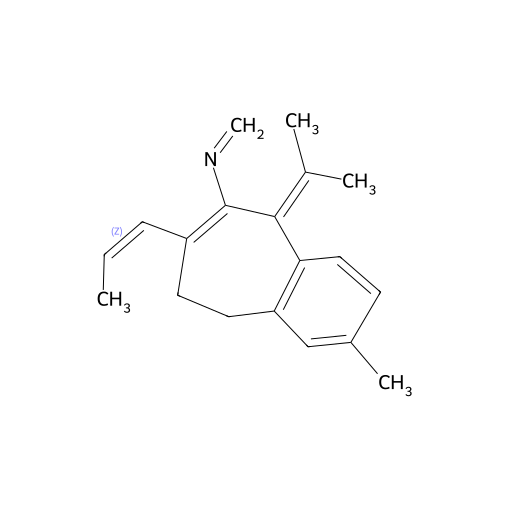 C=NC1=C(/C=C\C)CCc2cc(C)ccc2C1=C(C)C